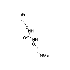 CNCCONC(=O)NCCCC(C)C